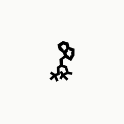 CC(CC(=Cc1cccc2ccccc12)CCC(C)(C)C)C(C)(C)C